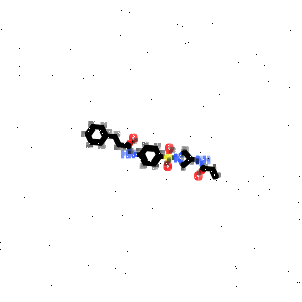 C=CC(=O)NC1CN(S(=O)(=O)c2ccc(NC(=O)CCc3ccccc3)cc2)C1